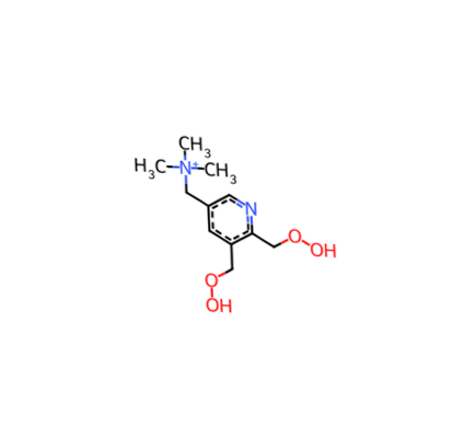 C[N+](C)(C)Cc1cnc(COO)c(COO)c1